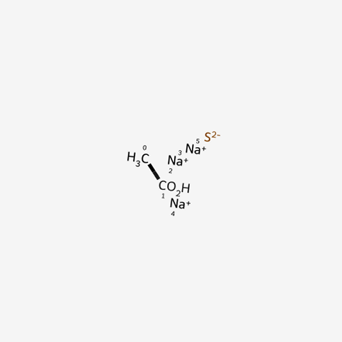 CC(=O)O.[Na+].[Na+].[Na+].[S-2]